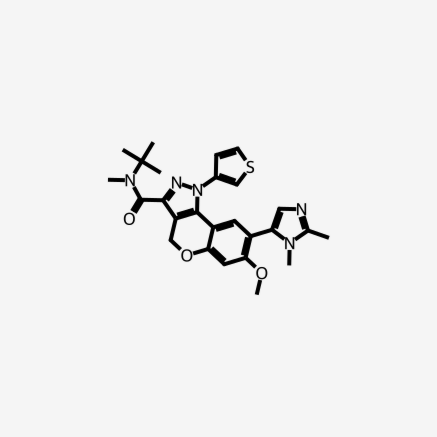 COc1cc2c(cc1-c1cnc(C)n1C)-c1c(c(C(=O)N(C)C(C)(C)C)nn1-c1ccsc1)CO2